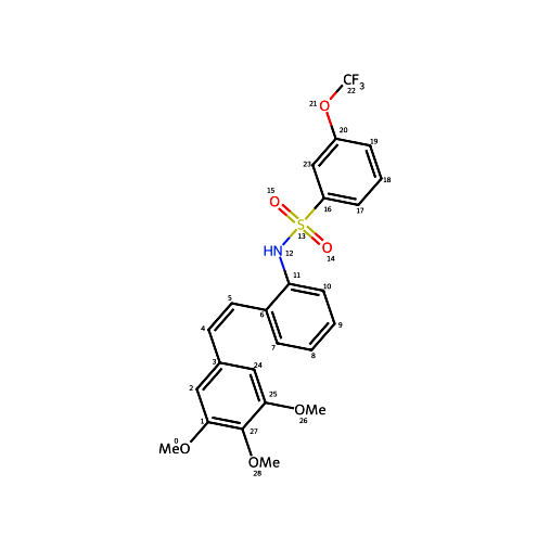 COc1cc(/C=C\c2ccccc2NS(=O)(=O)c2cccc(OC(F)(F)F)c2)cc(OC)c1OC